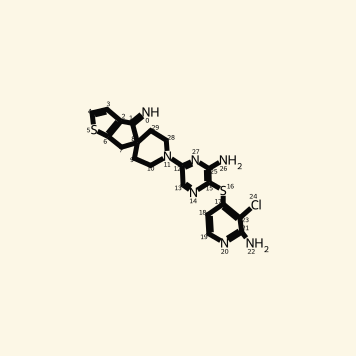 N=C1c2ccsc2CC12CCN(c1cnc(Sc3ccnc(N)c3Cl)c(N)n1)CC2